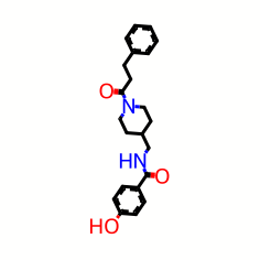 O=C(NCC1CCN(C(=O)CCc2ccccc2)CC1)c1ccc(O)cc1